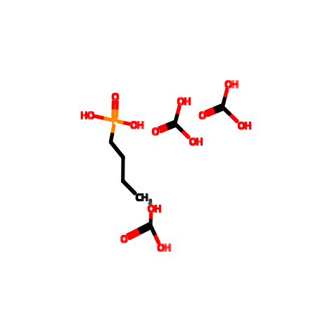 CCCCP(=O)(O)O.O=C(O)O.O=C(O)O.O=C(O)O